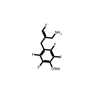 COc1c(F)c(F)c(CC(=CF)CN)c(F)c1F